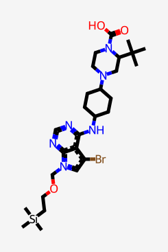 CC(C)(C)C1CN(C2CCC(Nc3ncnc4c3c(Br)cn4COCC[Si](C)(C)C)CC2)CCN1C(=O)O